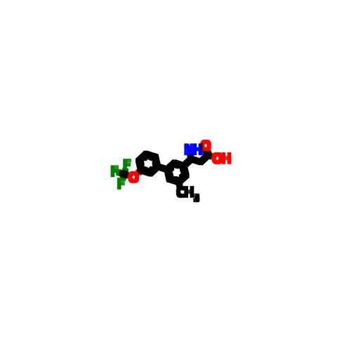 Cc1cc(-c2cccc(OC(F)(F)F)c2)cc(C(N)CC(=O)O)c1